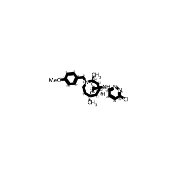 COc1ccc(CN2CC[C@]3(C)CCC[C@]2(C)C[C@@H](Nc2ccc(Cl)nn2)C3)cc1